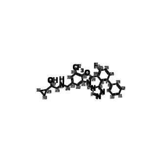 Cn1cnnc1-c1c(-c2ccccc2)ccc(F)c1-c1nc2cc(CNCC(O)C3CC3)cc(C(F)(F)F)c2o1